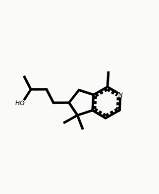 Cc1nccc2c1CC(CCC(C)O)C2(C)C